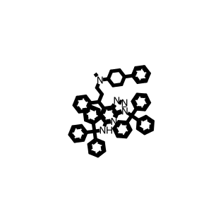 CN(CCC(c1ccccc1)c1cc(NC(c2ccccc2)(c2ccccc2)c2ccccc2)nc2c1nnn2C(c1ccccc1)(c1ccccc1)c1ccccc1)C1CCC(c2ccccc2)CC1